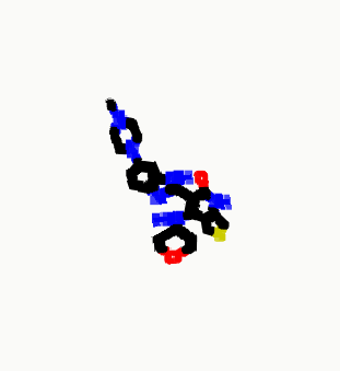 CN1CCN(c2ccc3nc(-c4c(NC5CCOCC5)c5cscc5[nH]c4=O)[nH]c3c2)CC1